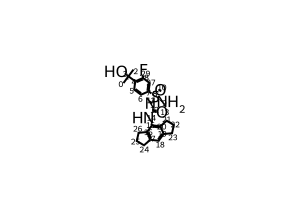 CC(C)(O)c1ccc([S@](N)(=O)=NC(=O)Nc2c3c(cc4c2CCC4)CCC3)cc1F